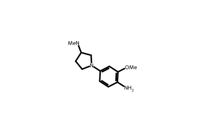 CNC1CCN(c2ccc(N)c(OC)c2)C1